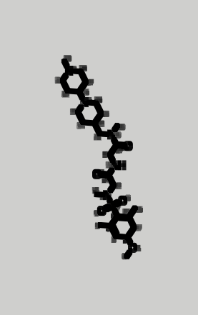 COC1C=C(C)C(S(=O)(=O)N(C)CC(=O)NCC(=O)N(C)CC2CCN(C3CCN(C)CC3)CC2)=C(C)C1